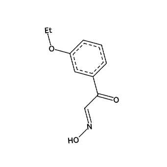 CCOc1cccc(C(=O)C=NO)c1